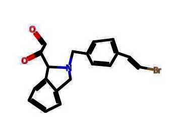 O=CC(=O)C1c2ccccc2CN1Cc1ccc(C=CBr)cc1